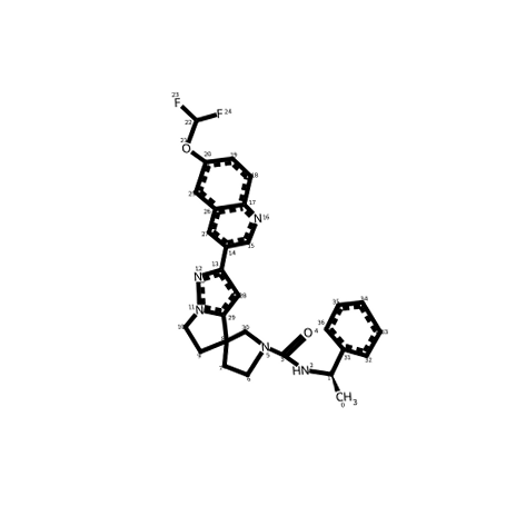 C[C@@H](NC(=O)N1CCC2(CCn3nc(-c4cnc5ccc(OC(F)F)cc5c4)cc32)C1)c1ccccc1